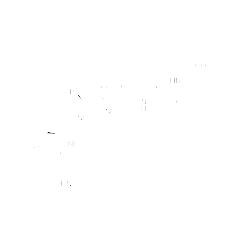 CC(C)C[C@H](NC(=O)CN)C(=O)N[C@H](C(=O)N1CCC[C@H]1C(=O)NCC(=O)NCC(=O)O)C(C)C